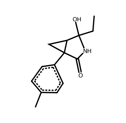 CCC1(O)NC(=O)C2(c3ccc(C)cc3)CC12